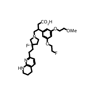 COCCOc1cc(OCCF)cc(C(CC(=O)O)CN2CC[C@@](F)(CCc3ccc4c(n3)NCCC4)C2)c1